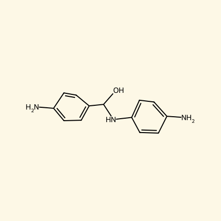 Nc1ccc(NC(O)c2ccc(N)cc2)cc1